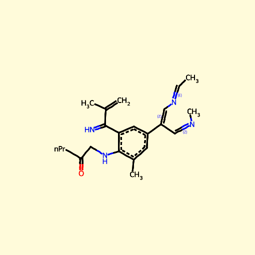 C=C(C)C(=N)c1cc(C(/C=N\C)=C/N=C/C)cc(C)c1NCC(=O)CCC